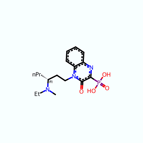 CCC[C@H](CCn1c(=O)c(P(=O)(O)O)nc2ccccc21)N(C)CC